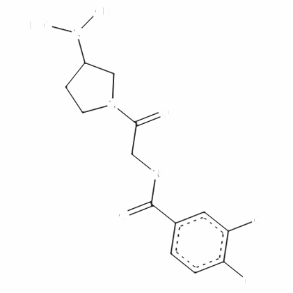 CN(C)C1CCN(C(=O)CNC(=O)c2ccc(Cl)c(Cl)c2)C1